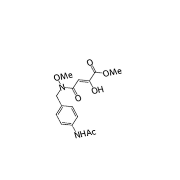 COC(=O)/C(O)=C/C(=O)N(Cc1ccc(NC(C)=O)cc1)OC